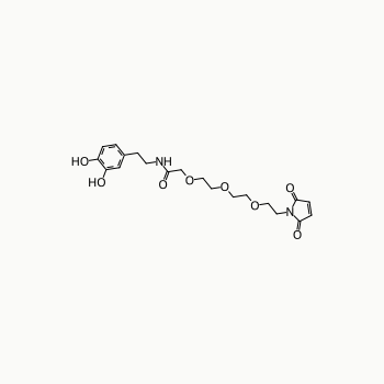 O=C(COCCOCCOCCN1C(=O)C=CC1=O)NCCc1ccc(O)c(O)c1